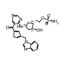 NS(=O)(=O)OCC[C@H]1C[C@@H](Nc2ncncc2C(=O)c2cc(Cn3cnc4ccccc43)cs2)C[C@@H]1O